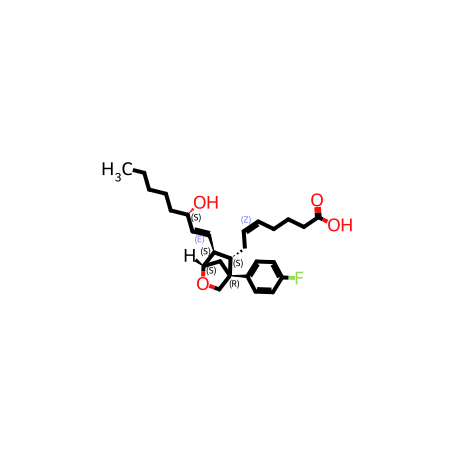 CCCCC[C@H](O)/C=C/[C@@H]1[C@@H]2C[C@@](c3ccc(F)cc3)(CO2)[C@H]1C/C=C\CCCC(=O)O